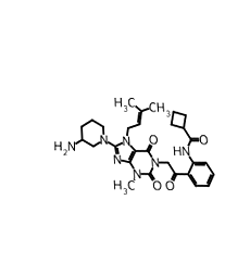 CC(C)=CCn1c(N2CCCC(N)C2)nc2c1c(=O)n(CC(=O)c1ccccc1NC(=O)C1CCC1)c(=O)n2C